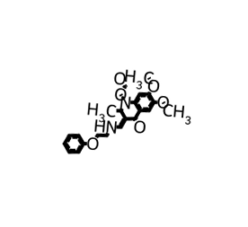 COc1cc2c(cc1OC)N(OC=O)C(C)C(=CNCCOc1ccccc1)C2=O